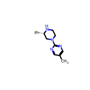 Cc1cnc(N2CCN[C@@H](C(C)C)C2)nc1